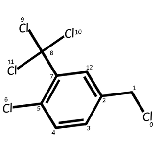 ClCc1ccc(Cl)c(C(Cl)(Cl)Cl)c1